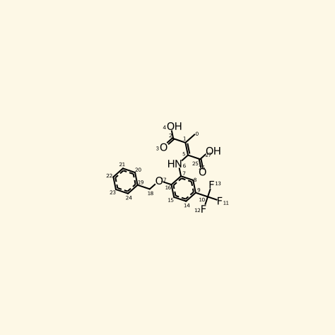 CC(C(=O)O)=C(Nc1cc(C(F)(F)F)ccc1OCc1ccccc1)C(=O)O